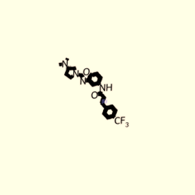 CN(C)[C@@H]1CCN(c2nc3cc(NC(=O)/C=C/c4ccc(C(F)(F)F)cc4)ccc3o2)C1